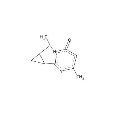 Cc1cc(=O)n2c(n1)C1CC1C2C